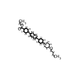 CCCCOC1CCN(c2ccc(-c3nn4cc(-c5ccc(C(=O)OCC)cc5)nc4s3)cc2)CC1